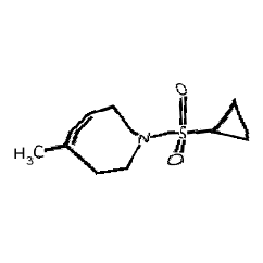 CC1=CCN(S(=O)(=O)C2CC2)CC1